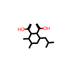 C=C(O)C1C(CC(C)C)CC(C)C(C)C1C(=C)O